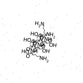 NCCCC[C@H](NC(=O)[C@H](CC(=O)O)NC(=O)[C@H](CC(=O)O)NC(=O)[C@H](CC(=O)O)NC(=O)[C@H](CC(=O)O)NC(=O)[C@@H](N)CCCCN)C(=O)O